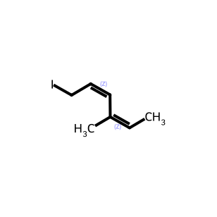 C/C=C(C)\C=C/CI